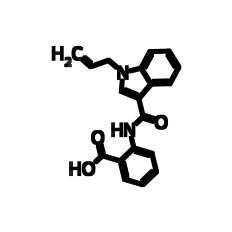 C=CCn1cc(C(=O)Nc2ccccc2C(=O)O)c2ccccc21